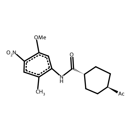 COc1cc(NC(=O)[C@H]2CC[C@H](C(C)=O)CC2)c(C)cc1[N+](=O)[O-]